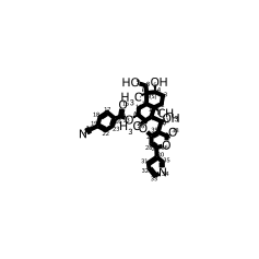 C[C@]12CC[C@H](O)[C@@](C)(CO)C1C[C@H](OC(=O)c1ccc(C#N)cc1)[C@@]1(C)Oc3cc(-c4cccnc4)oc(=O)c3[C@H](O)C21